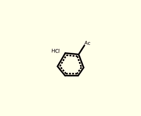 CC(=O)c1ccccc1.Cl